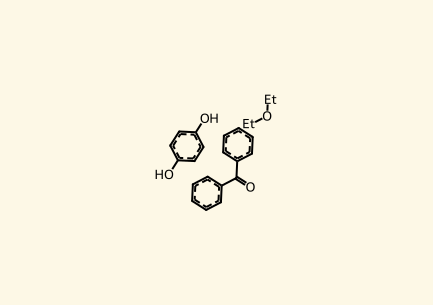 CCOCC.O=C(c1ccccc1)c1ccccc1.Oc1ccc(O)cc1